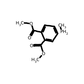 COC(=O)c1ccccc1C(=O)OC.CP